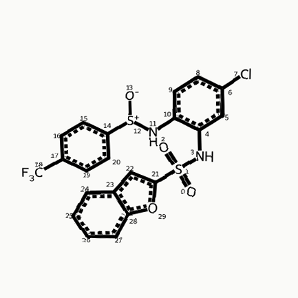 O=S(=O)(Nc1cc(Cl)ccc1N[S+]([O-])c1ccc(C(F)(F)F)cc1)c1cc2ccccc2o1